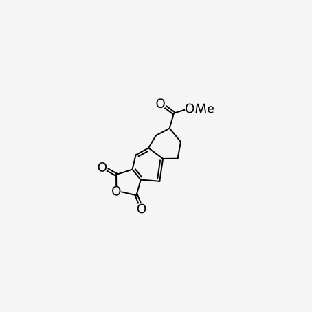 COC(=O)C1CCc2cc3c(cc2C1)C(=O)OC3=O